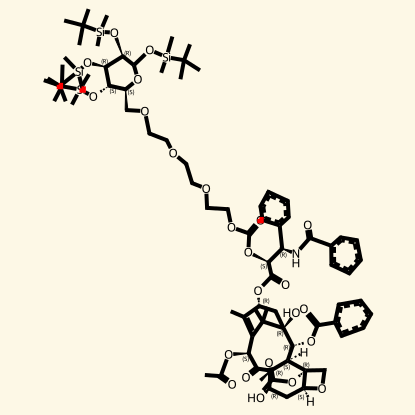 CC(=O)O[C@@H]1C(=O)[C@@]2(C)[C@H](O)C[C@@H]3OC[C@]3(OC(C)=O)[C@@H]2[C@@H](OC(=O)c2ccccc2)[C@@]2(O)C[C@@H](OC(=O)[C@@H](OC(=O)OCCOCCOCCOC[C@@H]3OC(O[Si](C)(C)C(C)(C)C)[C@H](O[Si](C)(C)C(C)(C)C)[C@H](O[Si](C)(C)C(C)C)[C@H]3O[Si](C)(C)C(C)(C)C)[C@H](NC(=O)c3ccccc3)c3ccccc3)C(C)=C1C2(C)C